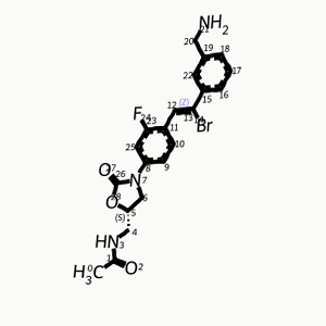 CC(=O)NC[C@H]1CN(c2ccc(/C=C(\Br)c3cccc(CN)c3)c(F)c2)C(=O)O1